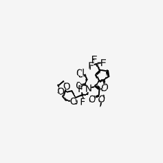 COC(=O)c1oc2ccc(C(F)(F)F)cc2c1N(CC(F)(F)C1CC2(CCO1)OCCO2)C(=O)CCl